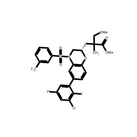 COCC(C)(C[C@H]1CN(S(=O)(=O)c2cccc(C(F)(F)F)c2)c2cc(-c3cc(F)cc(Cl)c3F)ccc2O1)C(=O)OC